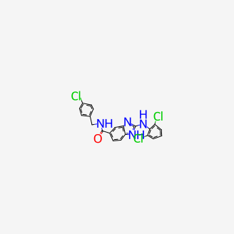 O=C(NCc1ccc(Cl)cc1)c1ccc2[nH]c(Nc3c(Cl)cccc3Cl)nc2c1